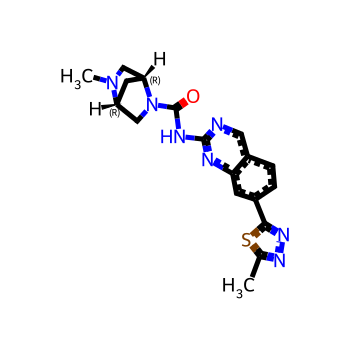 Cc1nnc(-c2ccc3cnc(NC(=O)N4C[C@H]5C[C@@H]4CN5C)nc3c2)s1